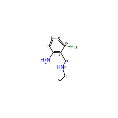 CCNCc1c(N)cccc1F